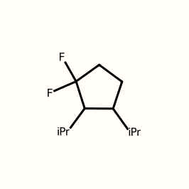 CC(C)C1CCC(F)(F)C1C(C)C